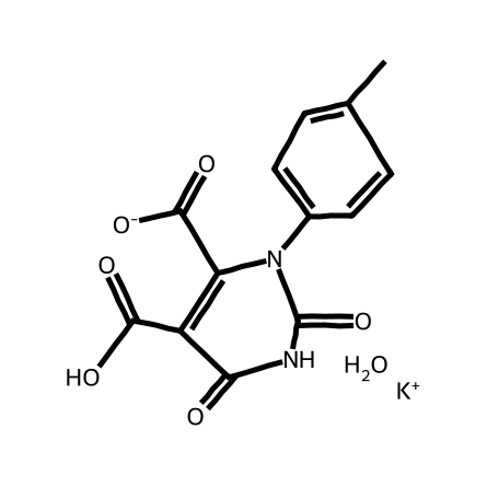 Cc1ccc(-n2c(C(=O)[O-])c(C(=O)O)c(=O)[nH]c2=O)cc1.O.[K+]